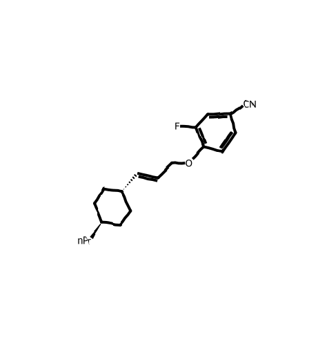 CCC[C@H]1CC[C@H](/C=C/COc2ccc(C#N)cc2F)CC1